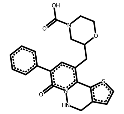 O=C(O)N1CCOC(Cc2cc(-c3ccccc3)c(=O)n3c2-c2sccc2CN3)C1